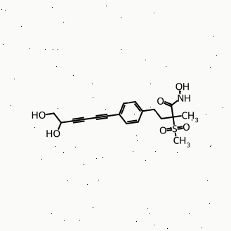 CC(CCc1ccc(C#CC#CC(O)CO)cc1)(C(=O)NO)S(C)(=O)=O